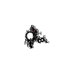 CCOc1cc2ccnc(O[C@@H]3C[C@H]4C(=O)N[C@]5(C(=O)NS(=O)(=O)C6CC6)C[C@H]5/C=C\CC[C@@H](C)C[C@@H](C)[C@H](N(C(=O)O)C(C)(C)C(F)(F)F)C(=O)N4C3)c2cc1F